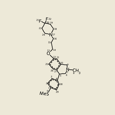 CSc1ccc(C2CN(C)Cc3cc(OCCCN4CCC(F)(F)CC4)ccc32)cc1